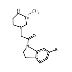 C[C@@H]1CN(CC(=O)N2CCc3ccc(Br)cc32)CCN1